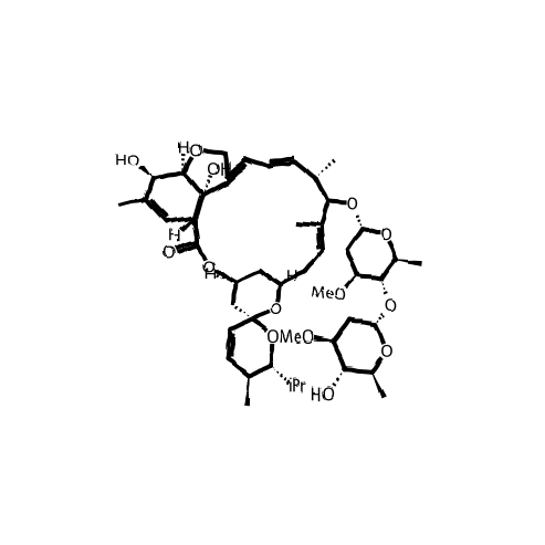 CO[C@H]1C[C@H](O[C@H]2[C@H](C)O[C@@H](OC3/C(C)=C/C[C@@H]4C[C@@H](C[C@]5(C=C[C@H](C)[C@@H](C(C)C)O5)O4)OC(=O)[C@@H]4C=C(C)[C@@H](O)[C@H]5OC/C(=C\C=C\[C@@H]3C)[C@]54O)C[C@@H]2OC)O[C@@H](C)[C@@H]1O